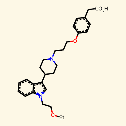 CCOCCn1cc(C2CCN(CCCOc3ccc(CC(=O)O)cc3)CC2)c2ccccc21